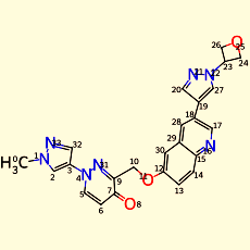 Cn1cc(-n2ccc(=O)c(COc3ccc4ncc(-c5cnn(C6COC6)c5)cc4c3)n2)cn1